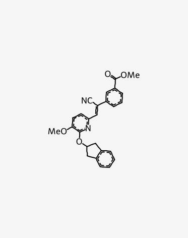 COC(=O)c1cccc(/C(C#N)=C/c2ccc(OC)c(OC3Cc4ccccc4C3)n2)c1